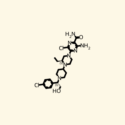 CC[C@H]1CN(c2nc(N)c(C(N)=O)nc2Cl)CCN1C1CCN([C@H](CO)c2ccc(Cl)cc2)CC1